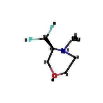 CC(C)(C)N1CCOC[C@H]1C(F)F